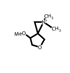 COC1COCC12C[N+]2(C)C